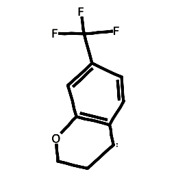 FC(F)(F)c1ccc2c(c1)OCC[C]2